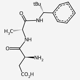 C[C@@H](NC(=O)[C@@H](N)CC(=O)O)C(=O)N[C@@H](c1ccccc1)C(C)(C)C